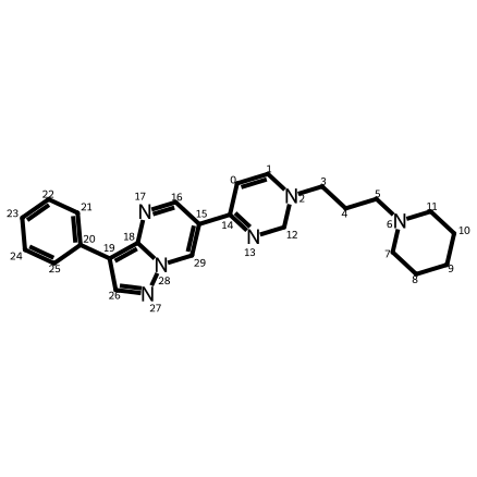 C1=CN(CCCN2CCCCC2)CN=C1c1cnc2c(-c3ccccc3)cnn2c1